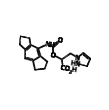 O=C(Nc1c2c(cc3c1CCC3)CCC2)OC(CN1C=CCN1)C(=O)O